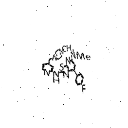 CNc1cc(-c2ccc(F)cc2)c2nc(Nc3cc(CN4CCN(C)CC4)ccn3)sc2n1